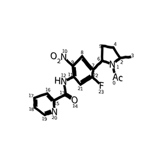 CC(=O)N1C(C)CCC1c1cc([N+](=O)[O-])c(NC(=O)c2ccccn2)cc1F